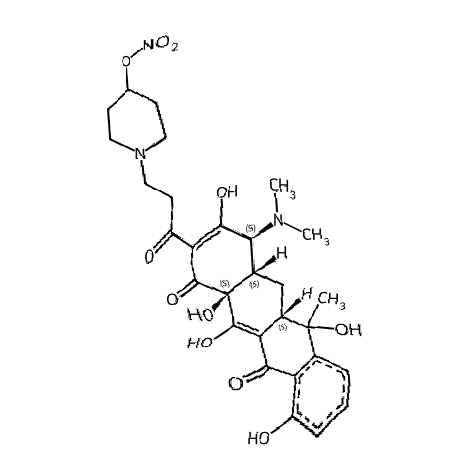 CN(C)[C@@H]1C(O)=C(C(=O)CCN2CCC(O[N+](=O)[O-])CC2)C(=O)[C@@]2(O)C(O)=C3C(=O)c4c(O)cccc4C(C)(O)[C@H]3C[C@@H]12